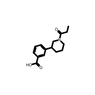 CCC(=O)N1CCCC(c2cccc(C(=O)O)c2)C1